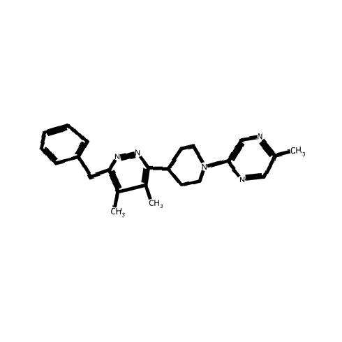 Cc1cnc(N2CCC(c3nnc(Cc4ccccc4)c(C)c3C)CC2)cn1